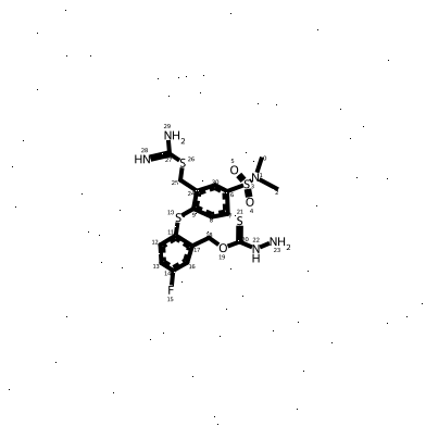 CN(C)S(=O)(=O)c1ccc(Sc2ccc(F)cc2COC(=S)NN)c(CSC(=N)N)c1